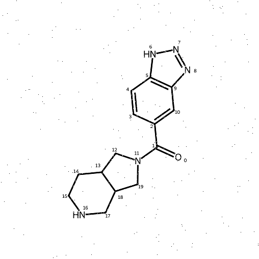 O=C(c1ccc2[nH]nnc2c1)N1CC2CCNCC2C1